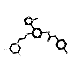 C[C@@H]1CN(CCOc2ccc(NC(=O)Cc3ccc(Cl)cc3)cc2-c2ccnn2C)C[C@H](C)O1